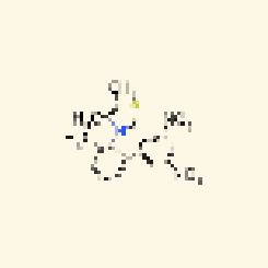 CC1=C(C)N(c2c(C)cccc2-c2cc([N+](=O)[O-])cc([N+](=O)[O-])c2)CS1